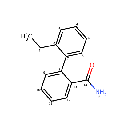 CCc1ccccc1-c1cc[c]cc1C(N)=O